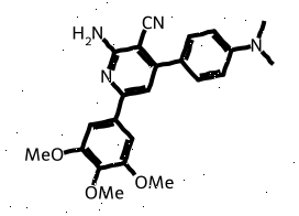 COc1cc(-c2cc(-c3ccc(N(C)C)cc3)c(C#N)c(N)n2)cc(OC)c1OC